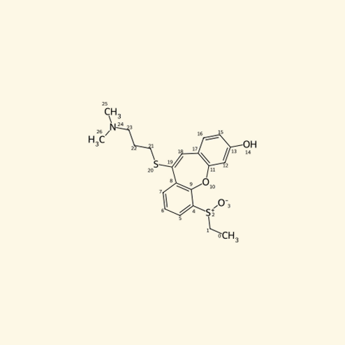 CC[S+]([O-])c1cccc2c1Oc1cc(O)ccc1C=C2SCCCN(C)C